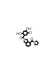 O=C(c1cc(Cl)c(O)cc1O)N1Cc2cccc(C(=O)N3CCCC3)c2C1